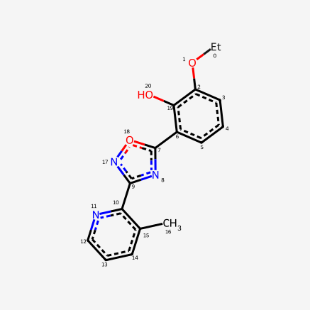 CCOc1cccc(-c2nc(-c3ncccc3C)no2)c1O